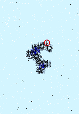 O=C(c1ccccc1)c1ccc(-c2cccc(-n3c4ccccc4c4cc(-c5ccc6c(c5)c5ccccc5n6-c5ccccc5)ccc43)n2)cc1